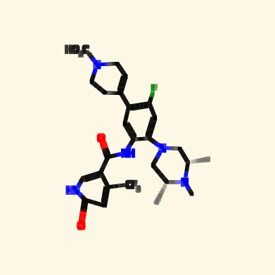 C[C@@H]1CN(c2cc(F)c(C3=CCN(C(=O)O)CC3)cc2NC(=O)c2c[nH]c(=O)cc2C(F)(F)F)C[C@H](C)N1C